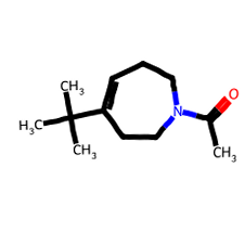 CC(=O)N1CCC=C(C(C)(C)C)CC1